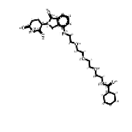 O=C1CCC(N2Cc3c(NCCOCCOCCOCCNC(=O)C4CCCCC4)cccc3C2=O)C(=O)N1